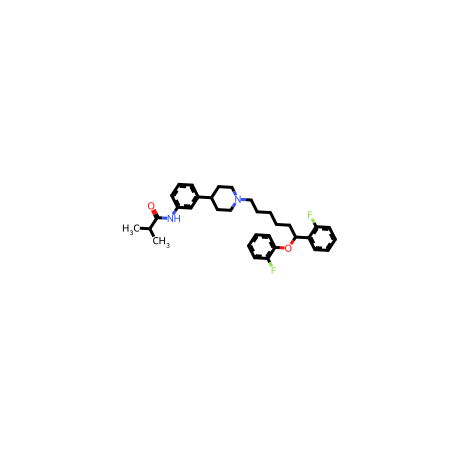 CC(C)C(=O)Nc1cccc(C2CCN(CCCCCC(Oc3ccccc3F)c3ccccc3F)CC2)c1